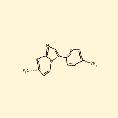 FC(F)(F)c1ccc(-c2cnc3nc(C(F)(F)F)ccn23)nc1